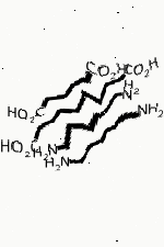 NCCCCCCN.NCCCCCCN.O=C(O)CCCCC(=O)O.O=C(O)CCCCCCCCC(=O)O